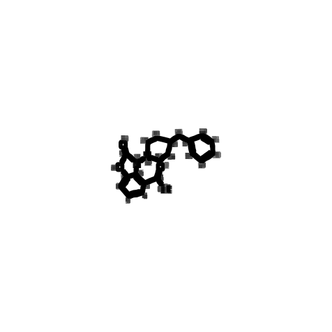 CCC(=O)c1cccc2oc(=O)n(N3CCC(Cc4ccccc4)CC3)c12